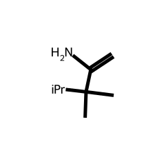 C=C(N)C(C)(C)C(C)C